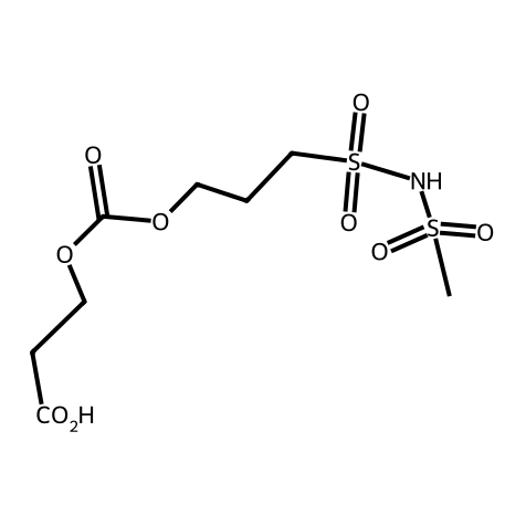 CS(=O)(=O)NS(=O)(=O)CCCOC(=O)OCCC(=O)O